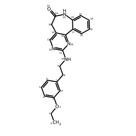 CCOc1cccc(CCNc2ncc3c(n2)-c2ccccc2NC(=O)C3)c1